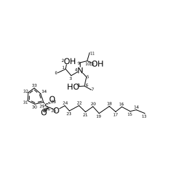 CC(O)CN(CC(C)O)CC(C)O.CCCCCCCCCCCCOS(=O)(=O)c1ccccc1